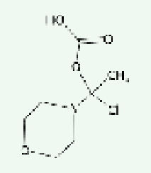 CC(Cl)(OC(=O)O)N1CCOCC1